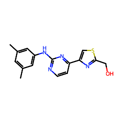 Cc1cc(C)cc(Nc2nccc(-c3csc(CO)n3)n2)c1